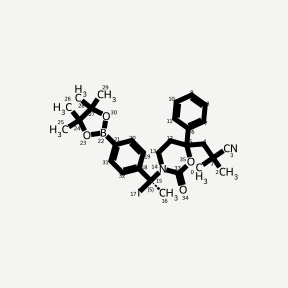 CC(C)(C#N)CC1(c2ccccc2)CCN([C@@](C)(I)c2ccc(B3OC(C)(C)C(C)(C)O3)cc2)C(=O)O1